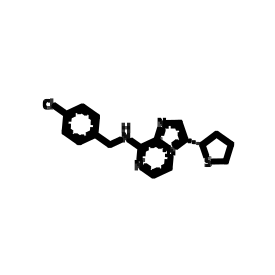 Clc1ccc(CNc2nccn3c([C@@H]4CCCS4)cnc23)cc1